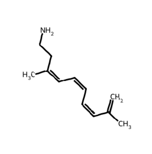 C=C(C)\C=C/C=C\C=C(\C)CCN